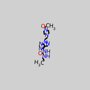 CCCNC(=O)Nc1ncnc2c1cnn2CCN1CCN(C(C)=O)CC1